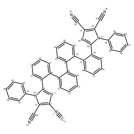 [C-]#[N+]c1nc(-c2ccccc2-c2ccccc2-c2ccccc2-c2ccccc2-c2nc(C#N)c(C#N)n2-c2ccccc2)n(-c2ccccc2)c1C#N